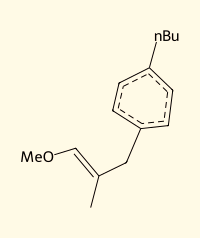 CCCCc1ccc(CC(C)=COC)cc1